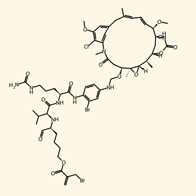 C=C(CBr)C(=O)OCCCC[C@@H](C=O)N[C@H](C(=O)N[C@@H](CCCNC(N)=O)C(=O)Nc1ccc(NCO[C@H]2CC(=O)N(C)c3cc(cc(OC)c3Cl)C/C(C)=C/C=C/[C@@H](OC)[C@@]3(O)C[C@H](OC(=O)N3)[C@@H](C)[C@@H]3O[C@@]23C)cc1Br)C(C)C